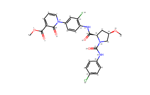 COC(=O)c1cccn(-c2ccc(NC(=O)[C@H]3C[C@@H](OC)CN3C(=O)Nc3ccc(Cl)cc3)c(F)c2)c1=O